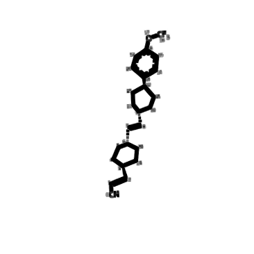 N#CC=C[C@H]1CC[C@H](C=C[C@H]2CC[C@H](c3ccc(OC(F)(F)F)cc3)CC2)CC1